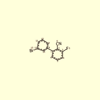 N#Cc1c(F)cccc1-c1cccc(Br)c1